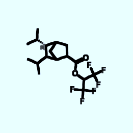 CC(C)C1C2CC(CC2C(=O)OC(C(F)(F)F)C(F)(F)F)[C@H]1C(C)C